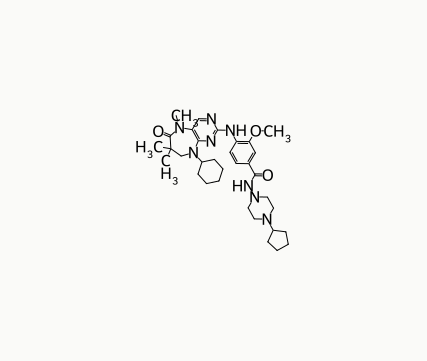 COc1cc(C(=O)NN2CCN(C3CCCC3)CC2)ccc1Nc1ncc2c(n1)N(C1CCCCC1)CC(C)(C)C(=O)N2C